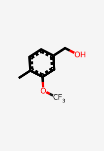 Cc1ccc(CO)cc1OC(F)(F)F